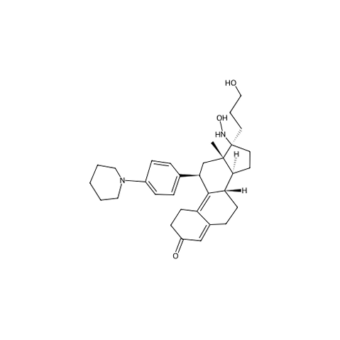 C[C@]12C[C@H](c3ccc(N4CCCCC4)cc3)C3=C4CCC(=O)C=C4CC[C@H]3[C@@H]1CC[C@]2(CCCO)NO